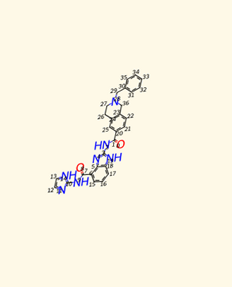 O=C(Nc1nc2c(C(=O)Nc3ncc[nH]3)cccc2[nH]1)c1ccc2c(c1)CCN(Cc1ccccc1)C2